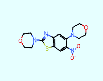 O=[N+]([O-])c1cc2sc(N3CCOCC3)nc2cc1N1CCOCC1